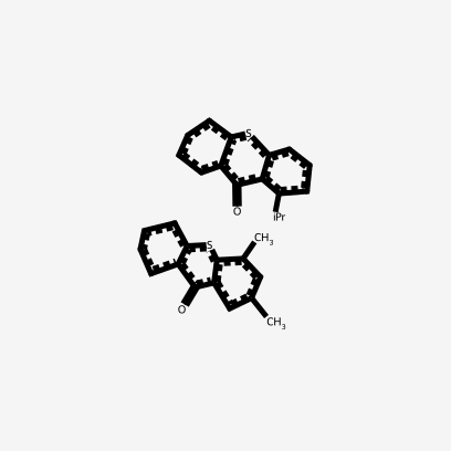 CC(C)c1cccc2sc3ccccc3c(=O)c12.Cc1cc(C)c2sc3ccccc3c(=O)c2c1